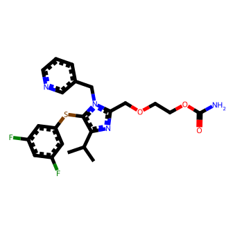 CC(C)c1nc(COCCOC(N)=O)n(Cc2cccnc2)c1Sc1cc(F)cc(F)c1